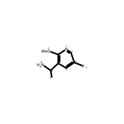 COc1ncc(F)cc1C(C)N